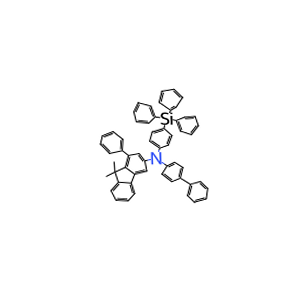 CC1(C)c2ccccc2-c2cc(N(c3ccc(-c4ccccc4)cc3)c3ccc([Si](c4ccccc4)(c4ccccc4)c4ccccc4)cc3)cc(-c3ccccc3)c21